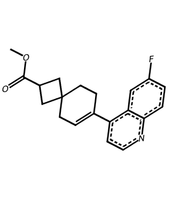 COC(=O)C1CC2(CC=C(c3ccnc4ccc(F)cc34)CC2)C1